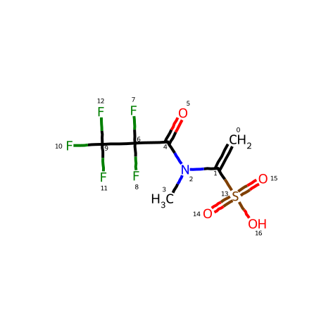 C=C(N(C)C(=O)C(F)(F)C(F)(F)F)S(=O)(=O)O